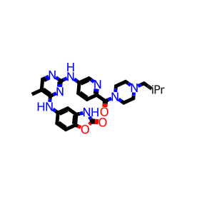 Cc1cnc(Nc2ccc(C(=O)N3CCN(CC(C)C)CC3)nc2)nc1Nc1ccc2oc(=O)[nH]c2c1